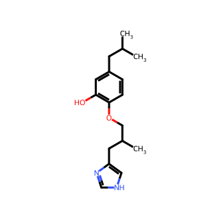 CC(C)Cc1ccc(OCC(C)Cc2c[nH]cn2)c(O)c1